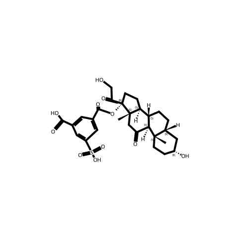 C[C@]12CC[C@@H](O)C[C@H]1CC[C@@H]1[C@@H]2C(=O)C[C@@]2(C)[C@H]1CC[C@]2(OC(=O)c1cc(C(=O)O)cc(S(=O)(=O)O)c1)C(=O)CO